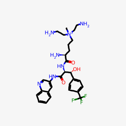 C[N+](CCN)(CCN)CCC[C@H](N)C(=O)N[C@H](C(=O)Nc1cnc2ccccc2c1)[C@H](O)c1ccc(C(F)(F)F)cc1